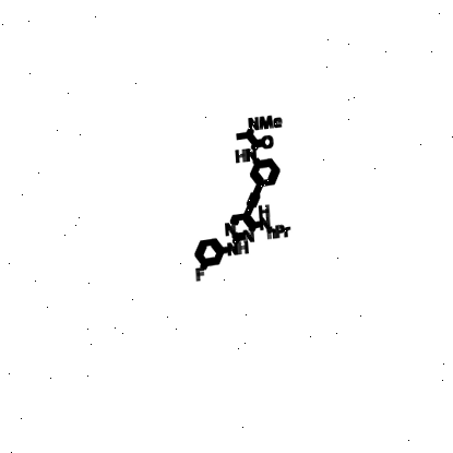 CCCNc1nc(Nc2cccc(F)c2)ncc1C#Cc1cccc(NC(=O)C(C)NC)c1